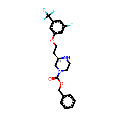 O=C(OCc1ccccc1)N1CCN[C@H](CCOc2cc(F)cc(C(F)(F)F)c2)C1